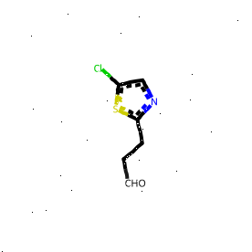 O=CCCc1ncc(Cl)s1